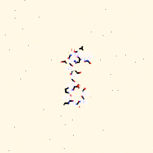 CC[C@H](C)[C@H](NC(=O)[C@@H](N)CO)C(=O)N[C@@H](CC(C)C)C(=O)N[C@@H](CO)C(=O)N[C@@H](CCC(=O)O)C(=O)N[C@@H](CCC(=O)O)C(=O)NCC(=O)N[C@H](C(=O)N1CCC[C@H]1C(=O)N[C@H](C(=O)N[C@@H](CO)C(=O)N[C@@H](CO)C(=O)NCC(=O)O)[C@@H](C)CC)C(C)C